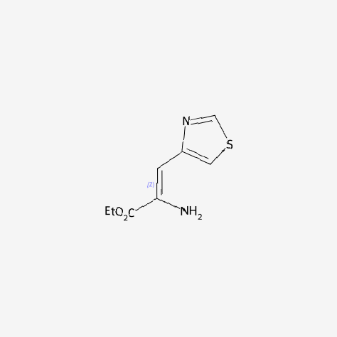 CCOC(=O)/C(N)=C/c1cscn1